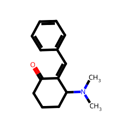 CN(C)C1CCCC(=O)C1=Cc1ccccc1